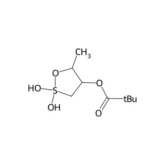 CC1OS(O)(O)CC1OC(=O)C(C)(C)C